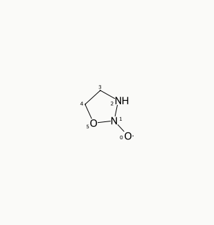 [O]N1NCCO1